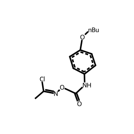 CCCCOc1ccc(NC(=O)O/N=C(/C)Cl)cc1